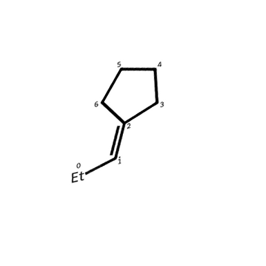 CC[C]=C1CCCC1